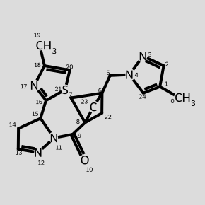 Cc1cnn(CC23CC(C(=O)N4N=CCC4c4nc(C)cs4)(C2)C3)c1